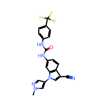 Cn1cc(-n2cc(C#N)c3ccc(NC(=O)Nc4ccc(C(F)(F)F)cc4)cc32)cn1